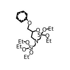 CCO[Si](CN1CC(COc2ccccc2)O[Si](OCC)(OCC)C1)(OCC)OCC